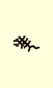 CCCC(F)C(F)(F)C(F)(F)C(F)(F)[Si](OC)(OC)OC